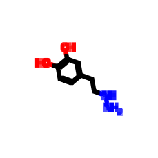 NNCCc1ccc(O)c(O)c1